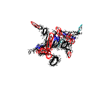 CC(C)C[C@@H](C(=O)O[C@H](C)C(=O)N(C)[C@@H](CC(C)(C)F)C(=O)O[C@H](CCc1ccc(C2CCOCC2)cc1)C(=O)N(C)[C@@H](CC(C)C)C(=O)O[C@H](C)C(=O)OCc1ccccc1)N(C)C(=O)[C@@H](Cc1ccc(C2CCOCC2)cc1)OC(=O)[C@H](CCC(C)(C)F)N(C)C(=O)OC(C)(C)C